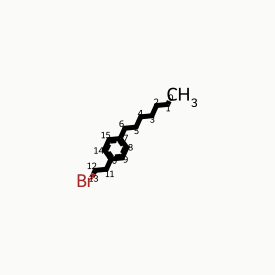 CCCCCCCc1ccc(CCBr)cc1